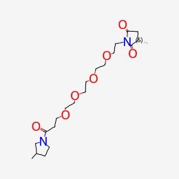 CC1CCN(C(=O)CCOCCOCCOCCOCCN2C(=O)C[C@H](C)C2=O)C1